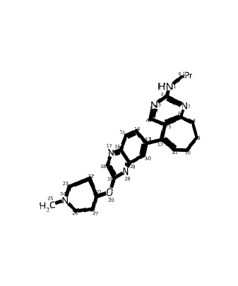 CC(C)Nc1ncc2c(n1)CCCC=C2c1ccc2ncc(OC3CCN(C)CC3)nc2c1